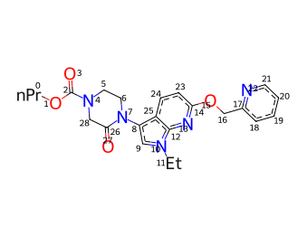 CCCOC(=O)N1CCN(c2cn(CC)c3nc(OCc4ccccn4)ccc23)C(=O)C1